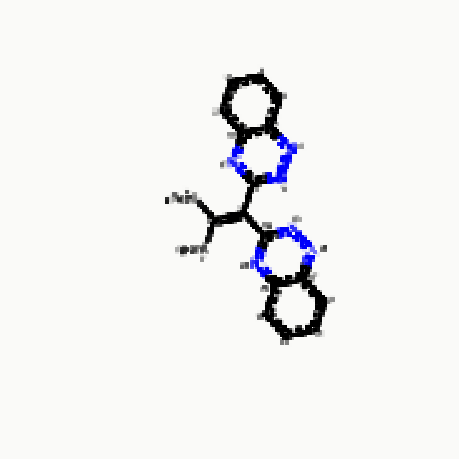 CCCCCC(CCCCC)=C(c1nnc2ccccc2n1)c1nnc2ccccc2n1